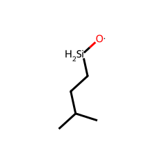 CC(C)CC[SiH2][O]